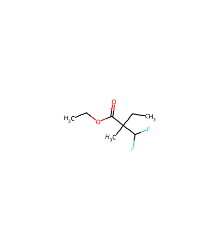 CCOC(=O)C(C)(CC)C(F)F